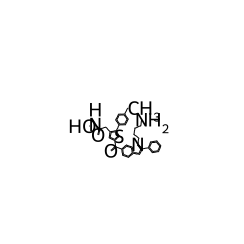 CCc1ccc(-c2sc(C(=O)c3ccc4cc(-c5ccccc5)n(CCCCN)c4c3)cc2CC(=O)NO)cc1